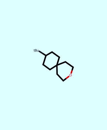 CC(C)(C)C1CCC2(CCOCC2)CC1